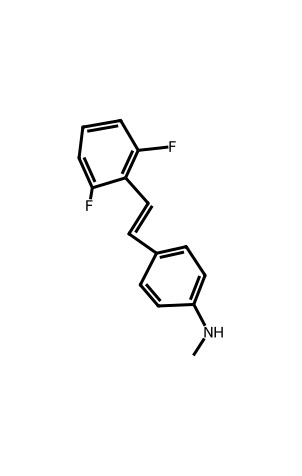 CNc1ccc(C=Cc2c(F)cccc2F)cc1